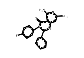 Nc1cc2nc(-c3ccccc3)n(-c3ccc(F)cc3)c(=O)c2c(N)n1